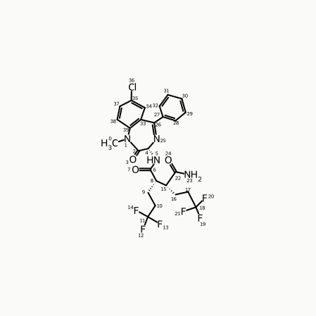 CN1C(=O)[C@@H](NC(=O)[C@@H](CCC(F)(F)F)[C@@H](CCC(F)(F)F)C(N)=O)N=C(c2ccccc2)c2cc(Cl)ccc21